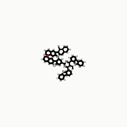 CCC1C(c2cccc3c2sc2ccccc23)=NC(c2cc(-n3c4c(c5cc6ccccc6cc53)C(C)C3C=CC=CC3=C4)c3c(c2)oc2cc4ccccc4cc23)=NC1c1cccc2c1sc1ccccc12